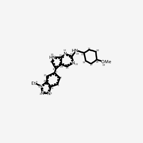 CCn1nnc2ccc(-c3c[nH]c4nc(NC5CCC(OC)CC5)ncc34)cc21